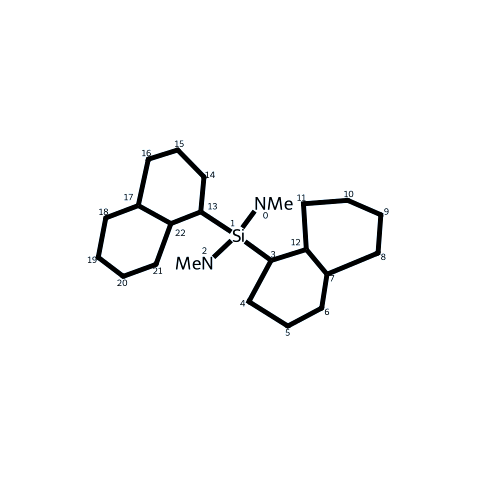 CN[Si](NC)(C1CCCC2CCCCC21)C1CCCC2CCCCC21